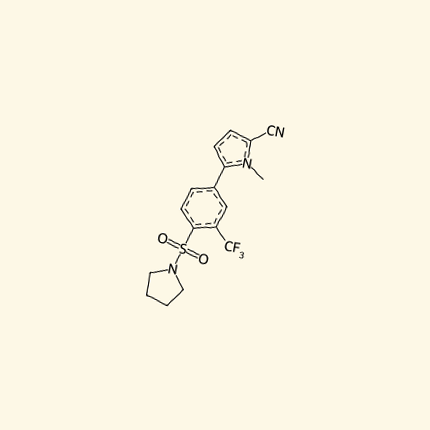 Cn1c(C#N)ccc1-c1ccc(S(=O)(=O)N2CCCC2)c(C(F)(F)F)c1